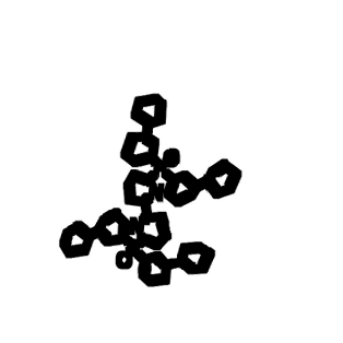 O=P(c1cccc(-c2ccccc2)c1)(c1cccc(-c2ccccc2)c1)c1cccc(-c2cccc(P(=O)(c3cccc(-c4ccccc4)c3)c3cccc(-c4ccccc4)c3)n2)n1